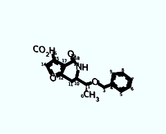 C[C@@H](OCc1ccccc1)C1Cc2occ(C(=O)O)c2C(=O)N1